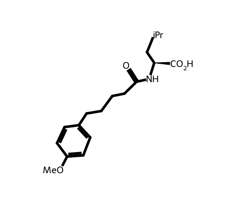 COc1ccc(CCCCC(=O)N[C@@H](CC(C)C)C(=O)O)cc1